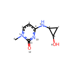 Cn1ccc(NC2CC2O)nc1=O